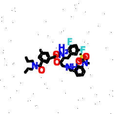 CCCN(CCC)C(=O)c1cc(C)cc(C(=O)OC(CNCc2cccc(N(C)S(C)(=O)=O)c2)C(N)Cc2cc(F)cc(F)c2)c1